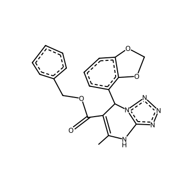 CC1=C(C(=O)OCc2ccccc2)C(c2cccc3c2OCO3)n2nnnc2N1